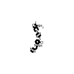 N[C@@H]1[C@H](I)OCC12CCN(c1cnc(Sc3ccc4nc(Cc5cnccn5)[nH]c4c3Cl)cn1)CC2